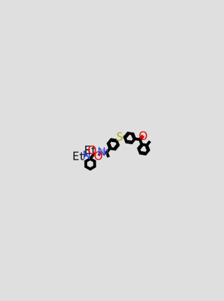 CCN(CC)C1(C(=O)O/N=C(\C)c2ccc(Sc3ccc(C(=O)c4ccccc4C)cc3)cc2)CCCCC1